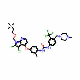 Cc1cc(Oc2ccnc3c2c(Cl)c(Cl)n3COCC[Si](C)(C)C)ccc1NC(=O)Nc1ccc(CN2CCN(C)CC2)c(C(F)(F)F)c1